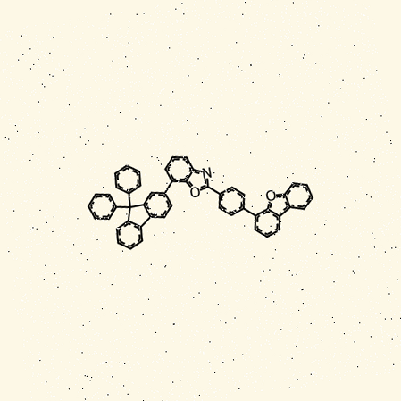 c1ccc(C2(c3ccccc3)c3ccccc3-c3ccc(-c4cccc5nc(-c6ccc(-c7cccc8c7oc7ccccc78)cc6)oc45)cc32)cc1